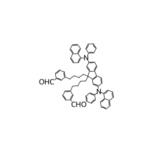 O=Cc1cccc(CCCCC2(CCCCc3cccc(C=O)c3)c3cc(N(c4ccccc4)c4cccc5ccccc45)ccc3-c3ccc(N(c4ccccc4)c4cccc5ccccc45)cc32)c1